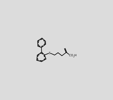 C=C(CCCSc1ccccc1-c1ccccc1)C(=O)O